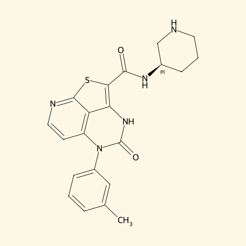 Cc1cccc(N2C(=O)Nc3c(C(=O)N[C@@H]4CCCNC4)sc4nccc2c34)c1